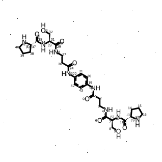 O=C(CCNC(=O)[C@H](CO)NC(=O)[C@@H]1CCCN1)Nc1ccc(NC(=O)CCNC(=O)[C@H](CO)NC(=O)[C@@H]2CCCN2)cc1